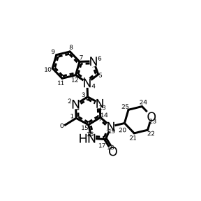 Cc1nc(-n2cnc3ccccc32)nc2c1[nH]c(=O)n2C1CCOCC1